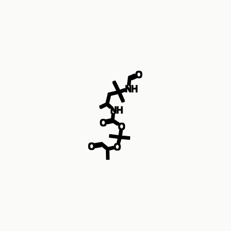 CC(CC(C)(C)NC=O)NC(=O)OC(C)(C)OC(C)C=O